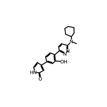 CN(c1ccc(-c2ccc(-c3cc[nH]c(=O)c3)cc2O)nn1)C1CCCCC1